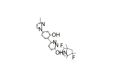 Cc1ccn(-c2ccc(-c3ccc(OC4CC5(C)NC(C)(CC5(C)F)C4F)nn3)c(O)c2)n1